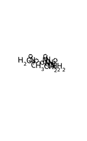 C=Cc1c(C)c2cc(-c3ccc4c(c3)-n3c(nc5ccccc53)N(C(=C)/N=C(\N=C)c3ccccc3)C4=C)ccc2n1-c1ccccc1